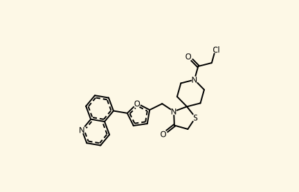 O=C(CCl)N1CCC2(CC1)SCC(=O)N2Cc1ccc(-c2cccc3ncccc23)o1